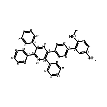 CNc1ccc(N)cc1-c1ccc(-c2nc(-c3ccccc3)c(-c3ccccc3)nc2-c2ccccc2)cc1